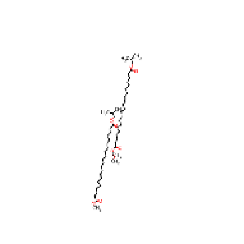 C=O.COC(=O)CCCCCCCCCCCCCCCCCCCC(=O)OCC(C)C.COC(=O)CCCCCCCCCCCCCCCCCCCC(=O)OCC(C)C